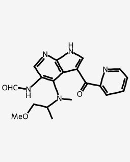 COCC(C)N(C)c1c(NC=O)cnc2[nH]cc(C(=O)c3ccccn3)c12